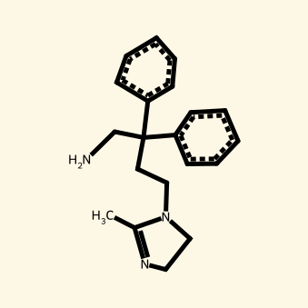 CC1=NCCN1CCC(CN)(c1ccccc1)c1ccccc1